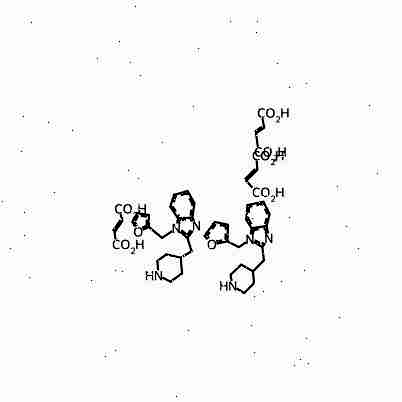 O=C(O)C=CC(=O)O.O=C(O)C=CC(=O)O.O=C(O)C=CC(=O)O.c1coc(Cn2c(CC3CCNCC3)nc3ccccc32)c1.c1coc(Cn2c(CC3CCNCC3)nc3ccccc32)c1